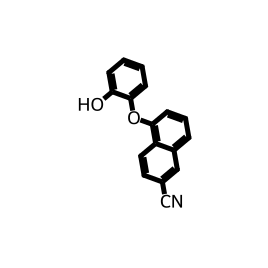 N#Cc1ccc2c(Oc3ccccc3O)cccc2c1